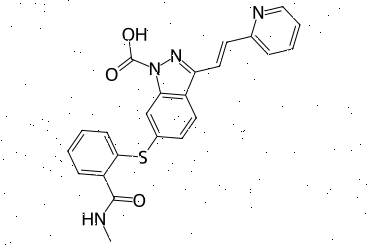 CNC(=O)c1ccccc1Sc1ccc2c(C=Cc3ccccn3)nn(C(=O)O)c2c1